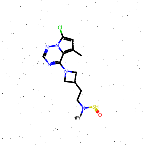 Cc1cc(Cl)n2ncnc(N3CC(CCN([SH]=O)C(C)C)C3)c12